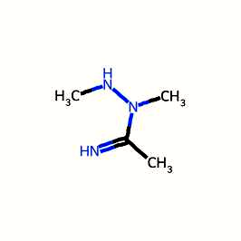 CNN(C)C(C)=N